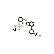 CC(C)(O)c1ccnc(-c2cccc3cc([C@H](NS(=O)(=O)NC4CC4)c4ccccc4Cl)sc23)c1